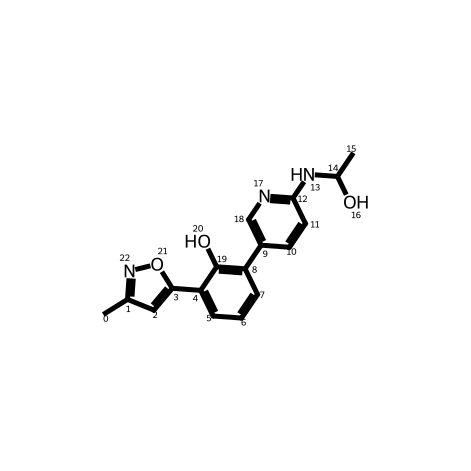 Cc1cc(-c2cccc(-c3ccc(NC(C)O)nc3)c2O)on1